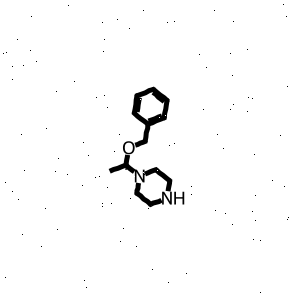 C[C](OCc1ccccc1)N1CCNCC1